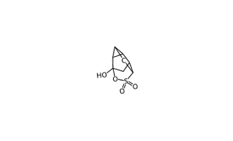 O=S1(=O)OC2(O)CC3C4C(CC31)C42